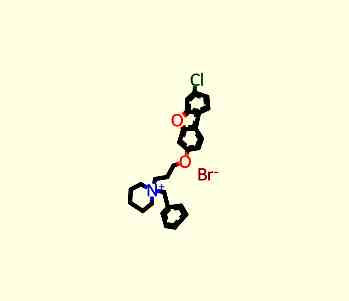 Clc1ccc2c(c1)oc1cc(OCCC[N+]3(Cc4ccccc4)CCCCC3)ccc12.[Br-]